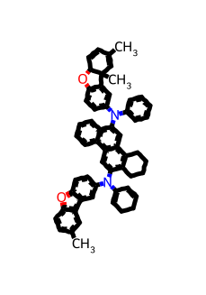 CC1=CC2(C)c3cc(N(c4ccccc4)c4cc5c6c(c(N(C7=CCCC=C7)c7ccc8oc9ccc(C)cc9c8c7)cc5c5ccccc45)CCCC6)ccc3OC2C=C1